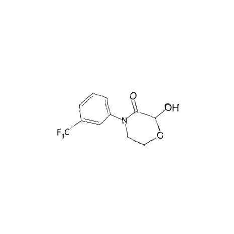 O=C1C(O)OCCN1c1cccc(C(F)(F)F)c1